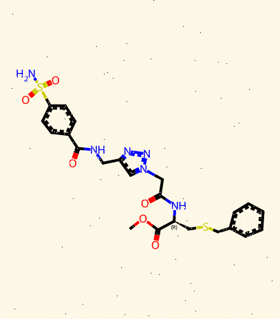 COC(=O)[C@H](CSCc1ccccc1)NC(=O)Cn1cc(CNC(=O)c2ccc(S(N)(=O)=O)cc2)nn1